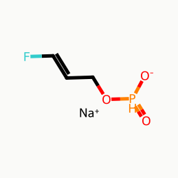 O=[PH]([O-])OCC=CF.[Na+]